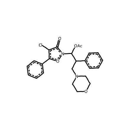 CC(=O)OC(C(CN1CCOCC1)c1ccccc1)n1oc(-c2ccccc2)c(Cl)c1=O